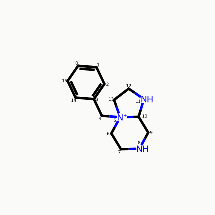 c1ccc(C[N+]23CCNCC2NCC3)cc1